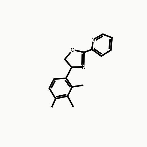 Cc1ccc(C2COC(c3ccccn3)=N2)c(C)c1C